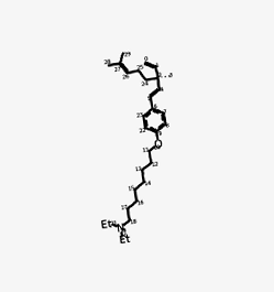 C=C[C@@](C)(/C=C/c1ccc(OCCCCCCCCN(CC)CC)cc1)CCC=C(C)C